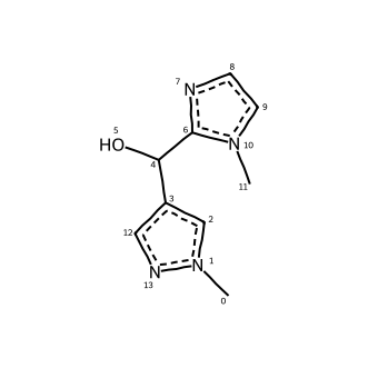 Cn1cc(C(O)c2nccn2C)cn1